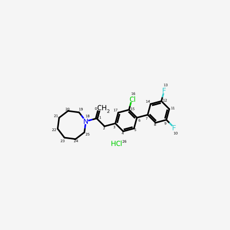 C=C(Cc1ccc(-c2cc(F)cc(F)c2)c(Cl)c1)N1CCCCCCC1.Cl